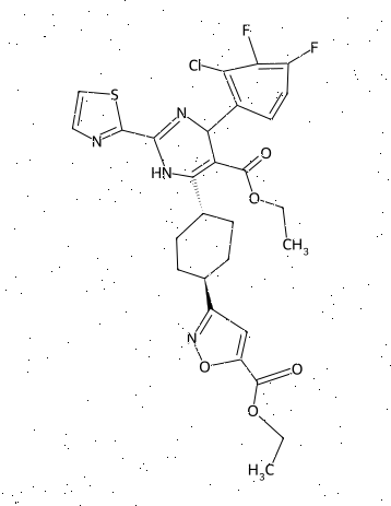 CCOC(=O)C1=C([C@H]2CC[C@H](c3cc(C(=O)OCC)on3)CC2)NC(c2nccs2)=NC1c1ccc(F)c(F)c1Cl